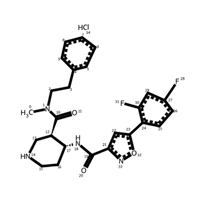 CN(CCc1ccccc1)C(=O)[C@@H]1CNCC[C@H]1NC(=O)c1cc(-c2ccc(F)cc2F)on1.Cl